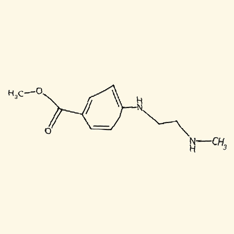 CNCCNc1ccc(C(=O)OC)cc1